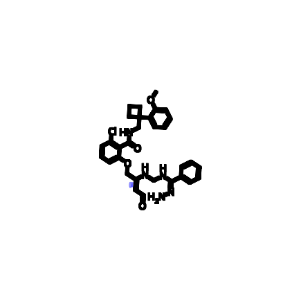 COc1ccccc1C1(CNC(=O)c2c(Cl)cccc2OC/C(=C/C=O)NCNC(=NN)c2ccccc2)CCC1